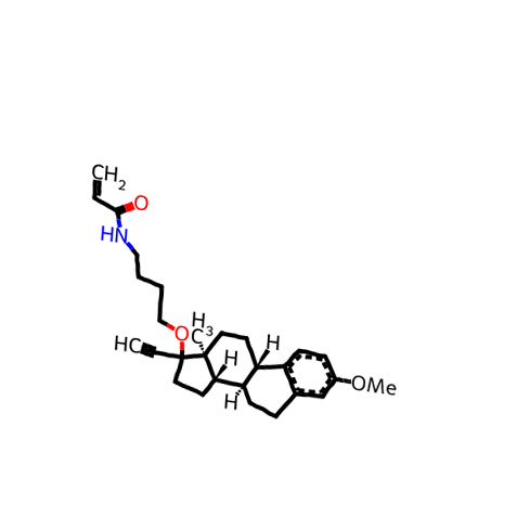 C#CC1(OCCCCNC(=O)C=C)CC[C@H]2[C@@H]3CCc4cc(OC)ccc4[C@H]3CC[C@@]21C